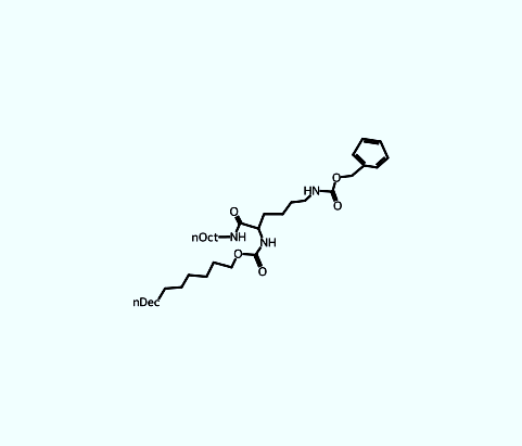 CCCCCCCCCCCCCCCCOC(=O)NC(CCCCNC(=O)OCc1ccccc1)C(=O)NCCCCCCCC